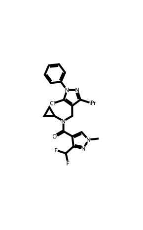 CC(C)c1nn(-c2ccccc2)c(Cl)c1CN(C(=O)c1cn(C)nc1C(F)F)C1CC1